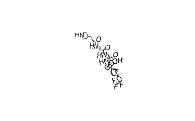 O=C(CCC1CCNCC1)NCCC(=O)NC[C@H](NS(=O)(=O)c1ccc(OC(F)(F)F)cc1)C(=O)O